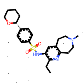 CCc1nc2c(cc1NS(=O)(=O)c1ccc([C@H]3CCCCO3)cc1)CCN(C)CC2